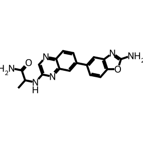 CC(Nc1cnc2ccc(-c3ccc4oc(N)nc4c3)cc2n1)C(N)=O